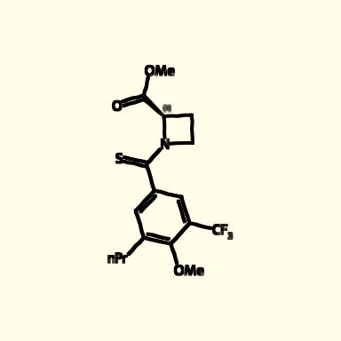 CCCc1cc(C(=S)N2CC[C@@H]2C(=O)OC)cc(C(F)(F)F)c1OC